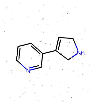 C1=C(c2cccnc2)CNC1